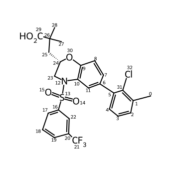 Cc1cccc(-c2ccc3c(c2)N(S(=O)(=O)c2cccc(C(F)(F)F)c2)C[C@H](CC(C)(C)C(=O)O)O3)c1Cl